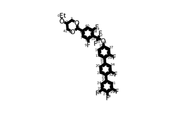 CCOC1COC(c2cc(F)c(C(F)(F)Oc3ccc(-c4ccc(-c5cc(F)c(F)c(F)c5)c(F)c4)c(F)c3)c(F)c2)OC1